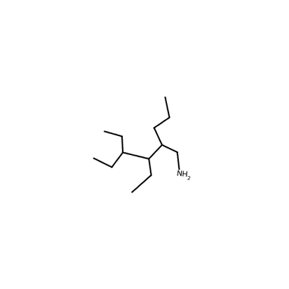 CCCC(CN)C(CC)C(CC)CC